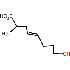 CC(CC=CCCCO)C(=O)O